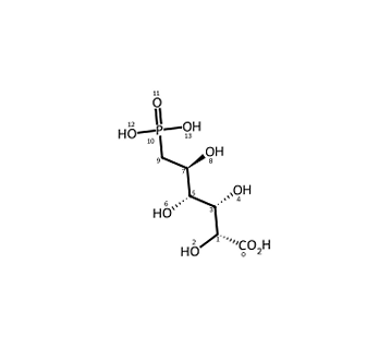 O=C(O)[C@H](O)[C@@H](O)[C@H](O)[C@H](O)CP(=O)(O)O